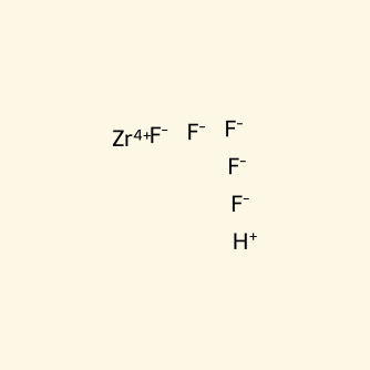 [F-].[F-].[F-].[F-].[F-].[H+].[Zr+4]